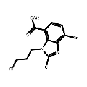 COC(=O)c1ccc(Br)c2nc(Cl)n(CCCCl)c12